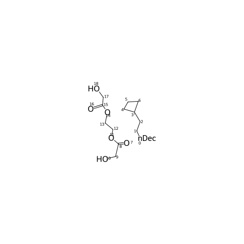 CCCCCCCCCCCC[C]1CCC1.O=C(CO)OCCOC(=O)CO